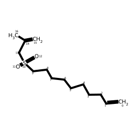 C=CCCCCCCCCS(=O)(=O)CC(=C)C